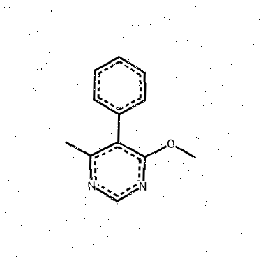 COc1n[c]nc(C)c1-c1ccccc1